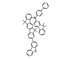 CC1(C)c2ccccc2-c2ccc(N(c3ccc(-c4ccccc4)cc3)c3cccc4c3-c3cc5c(cc3C4(C)C)-c3ccc(-c4ccc6sc7ccccc7c6c4)cc3C5(C)C)cc21